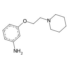 Nc1cccc(OCCN2CCCCC2)c1